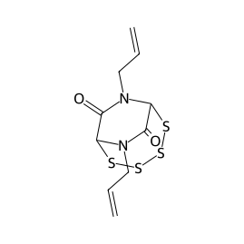 C=CCN1C(=O)C2SSSSC1C(=O)N2CC=C